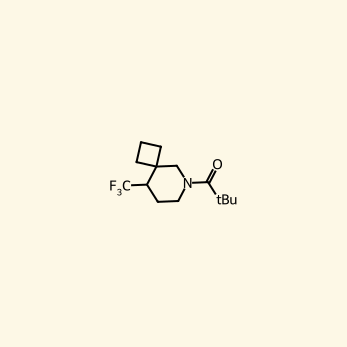 CC(C)(C)C(=O)N1CCC(C(F)(F)F)C2(CCC2)C1